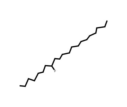 CCCCCCCCCCCCCC(F)CCCCCCC